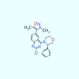 Cc1noc(C)c1-c1ccc2nc(Cl)nc(N3CCOC[C@H]3c3ccccc3)c2c1